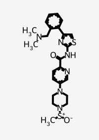 CN(C)Cc1ccccc1-c1csc(NC(=O)c2ccc(N3CCN([S+](C)[O-])CC3)cn2)n1